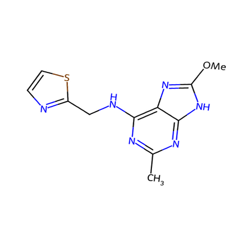 COc1nc2c(NCc3nccs3)nc(C)nc2[nH]1